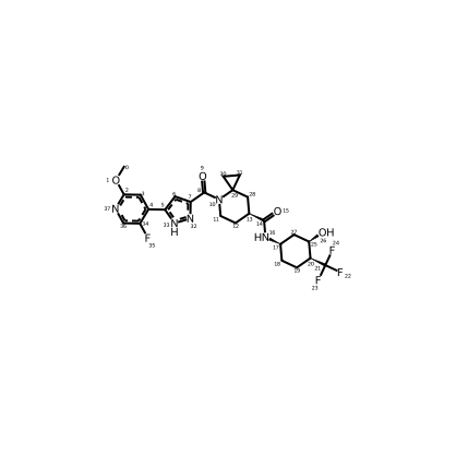 COc1cc(-c2cc(C(=O)N3CC[C@H](C(=O)N[C@@H]4CC[C@H](C(F)(F)F)[C@H](O)C4)CC34CC4)n[nH]2)c(F)cn1